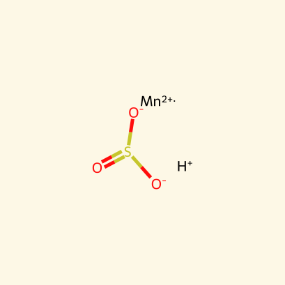 O=S([O-])[O-].[H+].[Mn+2]